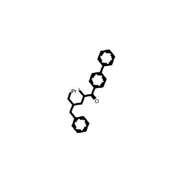 CC(C)CC(Cc1ccccc1)CC(I)C(=O)c1ccc(-c2ccccc2)cc1